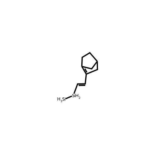 [SiH3][SiH2]C=CC1=C2CCC(C1)C2